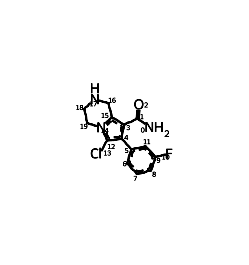 NC(=O)c1c(-c2cccc(F)c2)c(Cl)n2c1CNCC2